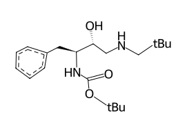 CC(C)(C)CNC[C@@H](O)[C@H](Cc1ccccc1)NC(=O)OC(C)(C)C